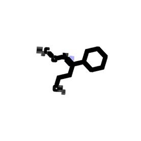 CCC/C(=N\OC)C1CCCCC1